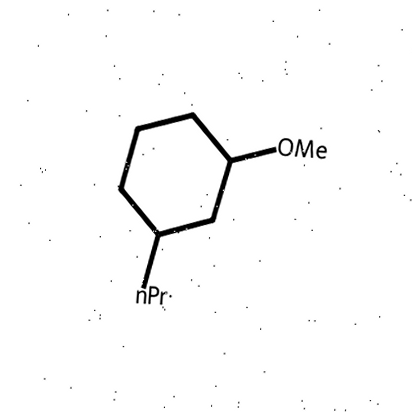 CC[CH]C1CCCC(OC)C1